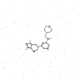 Cc1nn(C)c2ncc(-c3cncc(N(C)CC4CCOCC4)n3)cc12